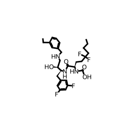 CCCCC(F)(F)CC[C@@H](NC(=O)O)C(=O)N[C@@H](Cc1cc(F)cc(F)c1)[C@@H](O)CNCc1cccc(CC)c1